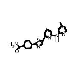 Cc1ccnc(Nc2cccc(-c3cnc(C4CCC(C(N)=O)CC4)s3)n2)c1